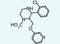 O=C(O)N1CCNC(c2ccccc2Cl)C1COc1cccnc1